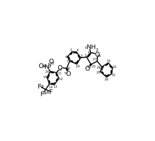 NC1=C(c2cccc(C(=O)Oc3ccc(C(F)(F)F)cc3[N+](=O)[O-])c2)C(=O)C(c2ccccc2)O1